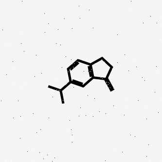 C=C1CCc2ccc(C(C)C)cc21